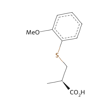 COc1ccccc1SC[C@H](C)C(=O)O